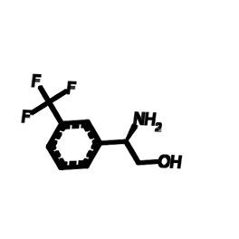 N[C@@H](CO)c1cccc(C(F)(F)F)c1